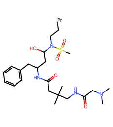 CC(C)CCN(C(O)CC(Cc1ccccc1)NC(=O)CC(C)(C)CNC(=O)CN(C)C)S(C)(=O)=O